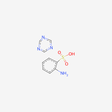 Nc1ccccc1S(=O)(=O)O.c1ncncn1